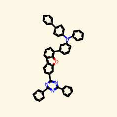 c1ccc(-c2ccc(N(c3ccccc3)c3cccc(-c4cccc5c4oc4cc(-c6nc(-c7ccccc7)nc(-c7ccccc7)n6)ccc45)c3)cc2)cc1